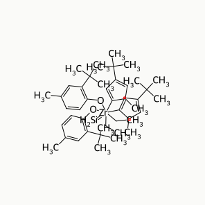 C[CH2][Zr](=[SiH2])([CH2]C)([O]c1ccc(C)cc1C(C)(C)C)([O]c1ccc(C)cc1C(C)(C)C)([C]1=CC(C(C)(C)C)=CC1C)[C]1=CC(C(C)(C)C)=CC1C